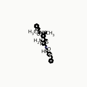 COc1cc(-c2csc3c(/C=C/C(=O)NC4CCN(Cc5ccccc5)CC4)cnc(N)c23)ccc1NC(=O)c1cc2ccccc2n1C